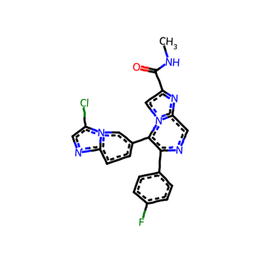 CNC(=O)c1cn2c(-c3ccc4ncc(Cl)n4c3)c(-c3ccc(F)cc3)ncc2n1